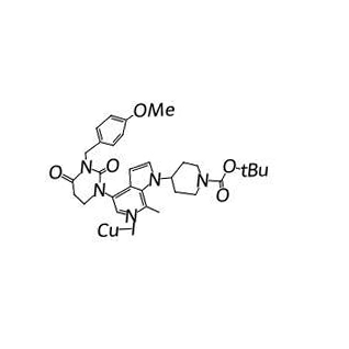 COc1ccc(CN2C(=O)CCN(c3cnc(C)c4c3ccn4C3CCN(C(=O)OC(C)(C)C)CC3)C2=O)cc1.[Cu][I]